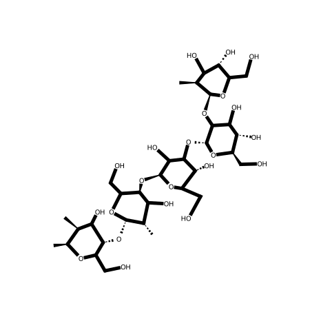 C[C@@H]1OC(CO)[C@@H](O[C@@H]2OC(CO)[C@@H](O[C@@H]3OC(CO)[C@@H](O)C(O[C@H]4O[C@H](CO)[C@@H](O)C(O)C4O[C@@H]4OC(CO)[C@@H](O)C(O)[C@@H]4C)C3O)C(O)[C@@H]2C)C(O)[C@@H]1C